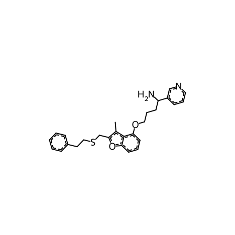 Cc1c(CSCCc2ccccc2)oc2cccc(OCCCC(N)c3cccnc3)c12